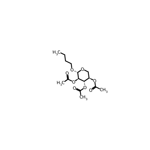 CCCCO[C@@H]1OC[C@@H](OC(C)=O)[C@H](OC(C)=O)[C@H]1OC(C)=O